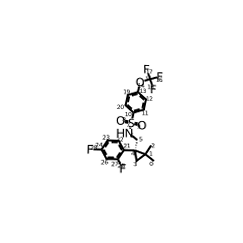 CC1(C)C[C@@]1(CNS(=O)(=O)c1ccc(OC(F)(F)F)cc1)c1ccc(F)cc1F